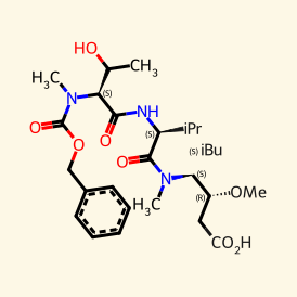 CC[C@H](C)[C@@H]([C@@H](CC(=O)O)OC)N(C)C(=O)[C@@H](NC(=O)[C@H](C(C)O)N(C)C(=O)OCc1ccccc1)C(C)C